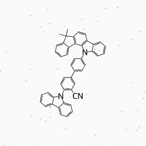 CC1(C)c2ccccc2-c2c1ccc1c3ccccc3n(-c3ccc(-c4ccc(-n5c6ccccc6c6ccccc65)c(C#N)c4)cc3)c21